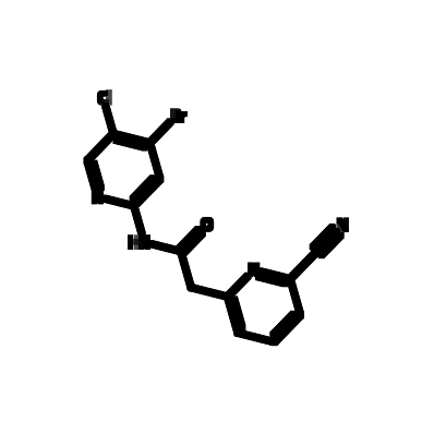 N#Cc1cccc(CC(=O)Nc2cc(Br)c(Cl)cn2)n1